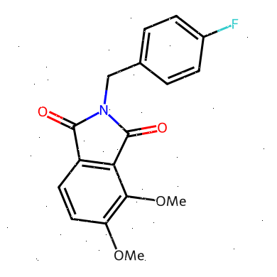 COc1ccc2c(c1OC)C(=O)N(Cc1ccc(F)cc1)C2=O